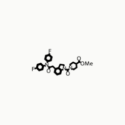 COC(=O)C1CCN(C(=O)N2CCc3c(CC(=O)N(c4ccc(F)cc4)c4ccc(F)cc4)cccc32)CC1